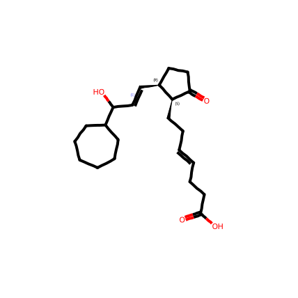 O=C(O)CCC=CCC[C@@H]1C(=O)CC[C@@H]1/C=C/C(O)C1CCCCCC1